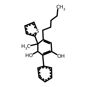 CCCCCC1=CC(O)=C(c2ccccc2)C(O)C1(C)c1cccs1